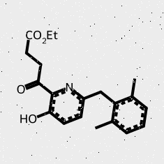 CCOC(=O)CCC(=O)c1nc(Cc2c(C)cccc2C)ccc1O